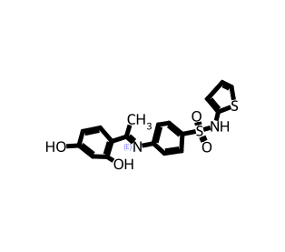 C/C(=N\c1ccc(S(=O)(=O)Nc2cccs2)cc1)c1ccc(O)cc1O